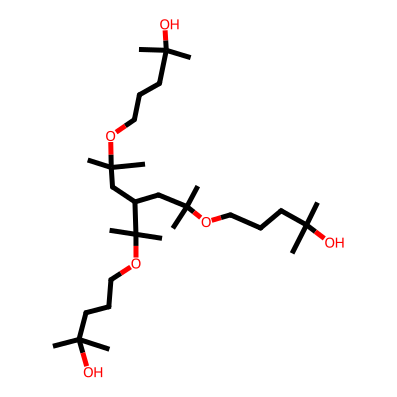 CC(C)(O)CCCOC(C)(C)CC(CC(C)(C)OCCCC(C)(C)O)C(C)(C)OCCCC(C)(C)O